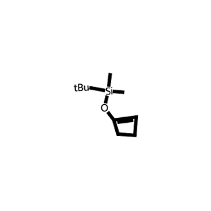 CC(C)(C)[Si](C)(C)OC1=CCC1